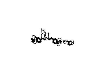 CC1(C)OCc2cc([C@@H](O)CNCCc3ccc4c(c3)O[C@H](COCc3cccnc3)CO4)ccc2O1